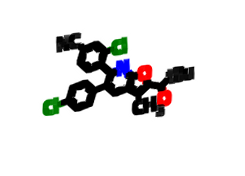 Cc1c(C(=O)C(C)(C)C)oc2nc(-c3ccc(C#N)cc3Cl)c(-c3ccc(Cl)cc3)cc12